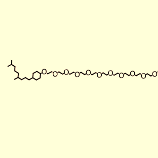 CC(C)CCCC(C)CCCC1CCC(OCCOCCOCCOCCOCCOCCOCCOCCOCCOCCO)CC1